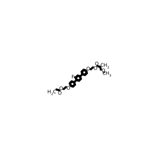 C=CC(=O)OCCOc1ccc(-c2ccc(-c3ccc(OCCOC(=O)C(=C)COC)cc3)cc2F)cc1